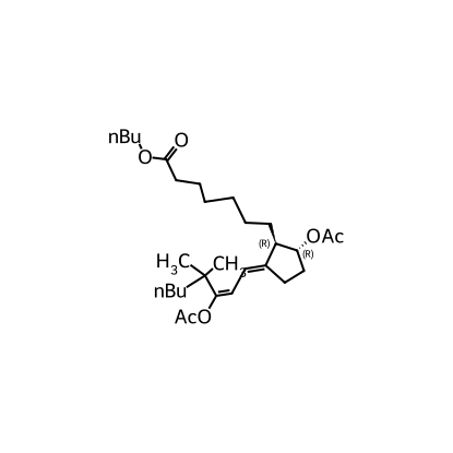 CCCCOC(=O)CCCCCC[C@@H]1C(=CC=C(OC(C)=O)C(C)(C)CCCC)CC[C@H]1OC(C)=O